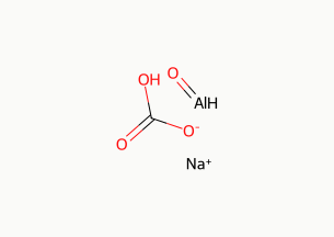 O=C([O-])O.[Na+].[O]=[AlH]